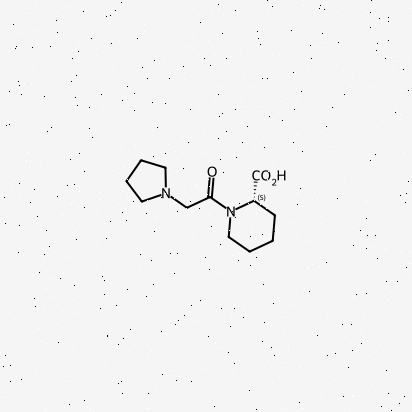 O=C(O)[C@@H]1CCCCN1C(=O)CN1CCCC1